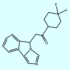 O=C(CC1c2ccccc2-c2cncn21)C1CCC(F)(I)CC1